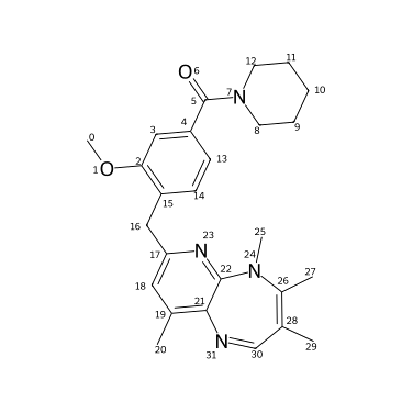 COc1cc(C(=O)N2CCCCC2)ccc1Cc1cc(C)c2c(n1)N(C)C(C)=C(C)C=N2